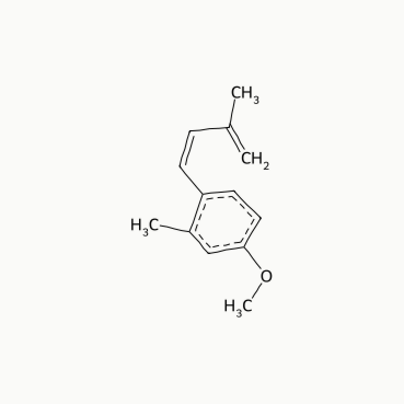 C=C(C)/C=C\c1ccc(OC)cc1C